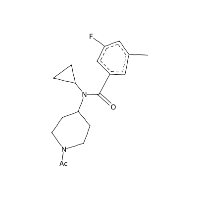 CC(=O)N1CCC(N(C(=O)c2cc(C)cc(F)c2)C2CC2)CC1